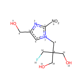 O=[N+]([O-])c1nc(CO)cn1CC(CO)(CO)CF